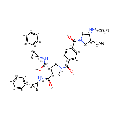 CCOC(=O)N[C@H]1CN(C(=O)c2ccc(C(=O)N3C[C@@H](C(=O)N[C@H]4C[C@@H]4c4ccccc4)[C@H](C(=O)N[C@H]4C[C@@H]4c4ccccc4)C3)cc2)C[C@@H]1OC